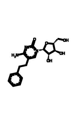 Nc1nc(=O)n([C@@H]2O[C@H](CO)[C@@H](O)[C@@H]2O)cc1CCc1ccccc1